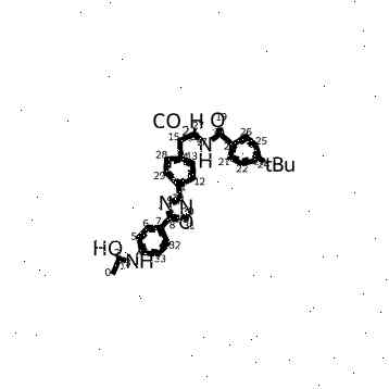 CC(O)Nc1ccc(-c2nc(-c3ccc(C[C@H](NC(=O)c4ccc(C(C)(C)C)cc4)C(=O)O)cc3)no2)cc1